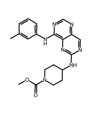 COC(=O)N1CCC(Nc2ncc3ncnc(Nc4cccc(C)c4)c3n2)CC1